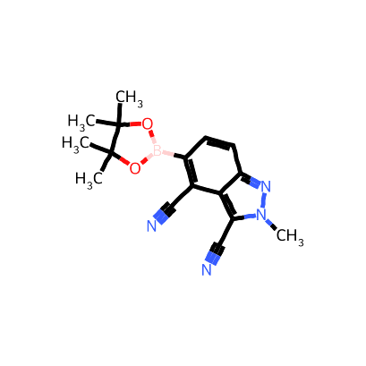 Cn1nc2ccc(B3OC(C)(C)C(C)(C)O3)c(C#N)c2c1C#N